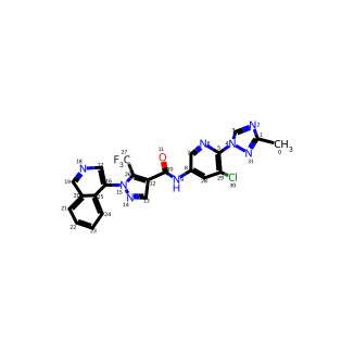 Cc1ncn(-c2ncc(NC(=O)c3cnn(-c4cncc5ccccc45)c3C(F)(F)F)cc2Cl)n1